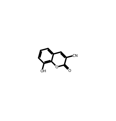 N#Cc1cc2cccc(O)c2oc1=O